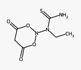 CCN(C(N)=S)N1OC(=O)CC(=O)O1